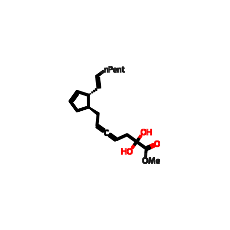 CCCCCC=C[C@H]1C=CC[C@@H]1CC=C=CCC(O)(O)C(=O)OC